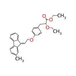 CCOC(=O)C(Cc1ccc(OC/C=C2\c3ccccc3-c3ccc(C)cc32)cc1)OCC